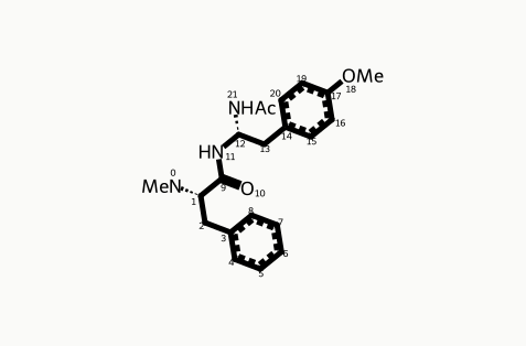 CN[C@@H](Cc1ccccc1)C(=O)N[C@@H](Cc1ccc(OC)cc1)NC(C)=O